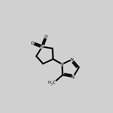 Cc1ncnn1C1CCS(=O)(=O)C1